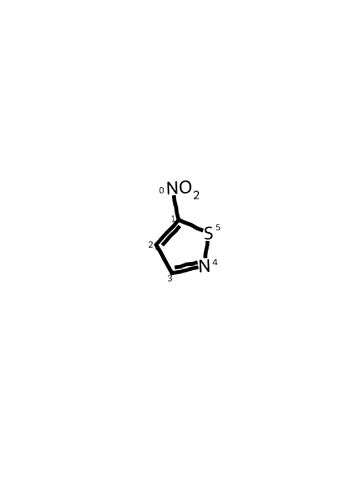 O=[N+]([O-])c1[c]cns1